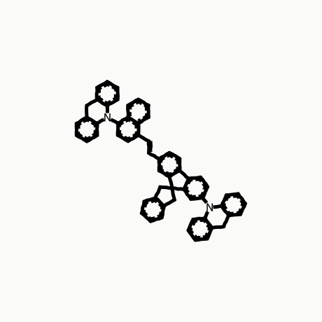 C(=C\c1ccc(N2c3ccccc3Cc3ccccc32)c2ccccc12)/c1ccc2c(c1)C1(Cc3ccccc3C1)c1cc(N3c4ccccc4Cc4ccccc43)ccc1-2